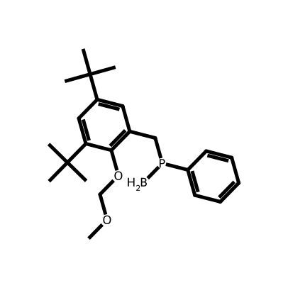 BP(Cc1cc(C(C)(C)C)cc(C(C)(C)C)c1OCOC)c1ccccc1